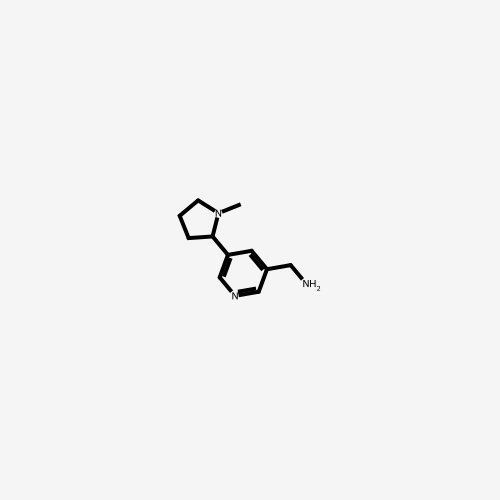 CN1CCCC1c1cncc(CN)c1